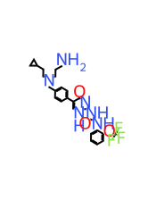 NCCCN(CCC1CC1)Cc1ccc(-c2c[nH]c(NC(=O)Nc3ccccc3OC(F)(F)F)nc2=O)cc1